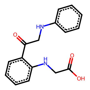 O=C(O)CNc1ccccc1C(=O)CNc1ccccc1